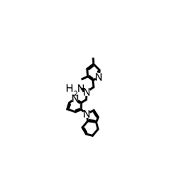 Cc1cnc(CN(N)Cc2ncccc2-n2ccc3c2C=CCC3)c(C)c1